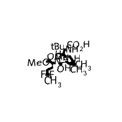 COC(OC)[C@H](CCC(C)(F)F)NC(=O)[C@@H]1[C@@H]2[C@H](CN1C(=O)[C@@H](NC(=O)O)C(C)(C)C)C2(C)C